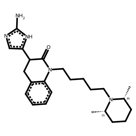 C[C@@H]1CCC[C@H](C)N1CCCCCN1C(=O)C(c2cnc(N)[nH]2)Cc2ccccc21